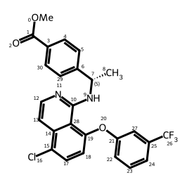 COC(=O)c1ccc([C@H](C)Nc2nccc3c(Cl)ccc(Oc4cccc(C(F)(F)F)c4)c23)cc1